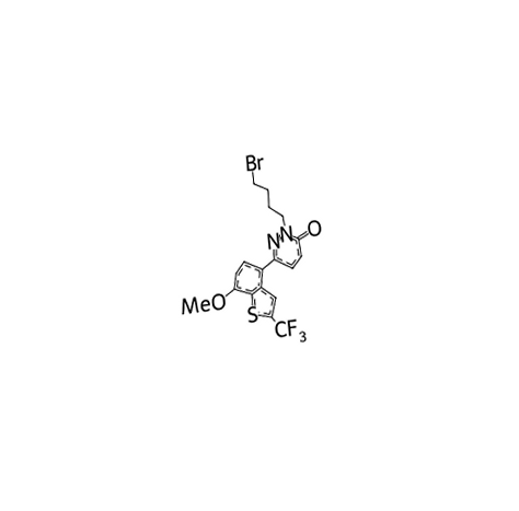 COc1ccc(-c2ccc(=O)n(CCCCBr)n2)c2cc(C(F)(F)F)sc12